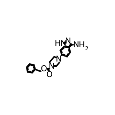 Nc1n[nH]c2cc(N3CCN(C(=O)OCc4ccccc4)CC3)ccc12